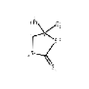 CCCC1(CC)CSC(=S)S1